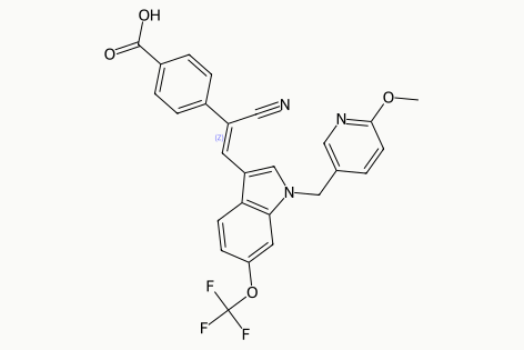 COc1ccc(Cn2cc(/C=C(\C#N)c3ccc(C(=O)O)cc3)c3ccc(OC(F)(F)F)cc32)cn1